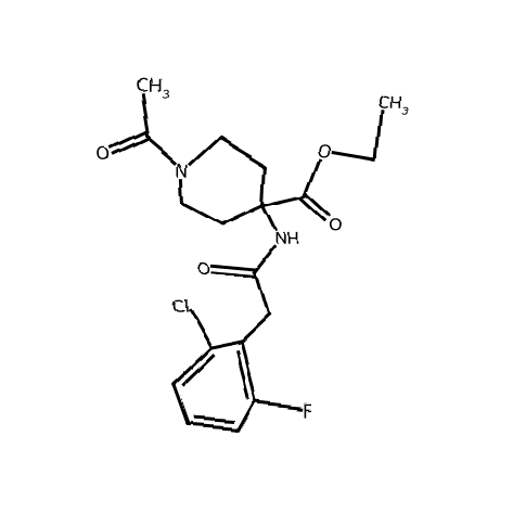 CCOC(=O)C1(NC(=O)Cc2c(F)cccc2Cl)CCN(C(C)=O)CC1